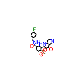 CS(=O)(=O)c1ccc(C(=O)NCc2ccc(F)cc2)cc1-c1cc(=O)c2cnccc2[nH]1